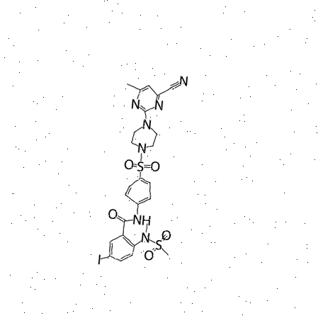 Cc1cc(C#N)nc(N2CCN(S(=O)(=O)c3ccc(NC(=O)c4cc(I)ccc4N(C)S(C)(=O)=O)cc3)CC2)n1